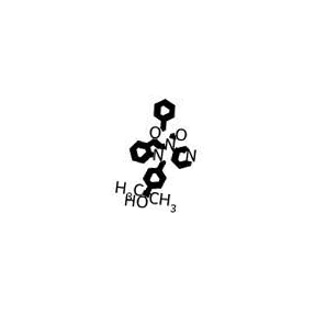 CC(C)(O)c1ccc(Cn2c(N(C=O)c3cccnc3)c(OCc3ccccc3)c3ccccc32)cc1